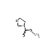 NOC(=O)C1CCOC1